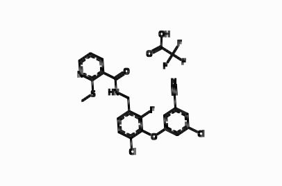 CSc1ncccc1C(=O)NCc1ccc(Cl)c(Oc2cc(Cl)cc(C#N)c2)c1F.O=C(O)C(F)(F)F